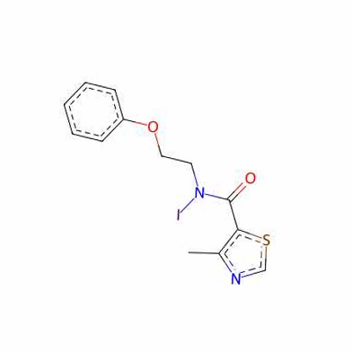 Cc1ncsc1C(=O)N(I)CCOc1ccccc1